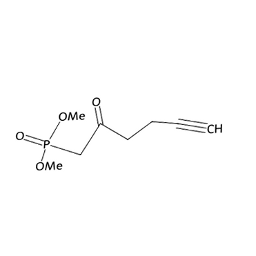 C#CCCC(=O)CP(=O)(OC)OC